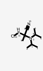 CC(C)N(C(C)C)C(C)(C#N)PCl